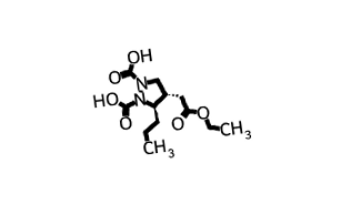 CCC[C@@H]1[C@@H](CC(=O)OCC)CN(C(=O)O)N1C(=O)O